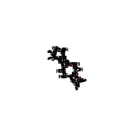 CCO[SiH]1C[Si]2(C)O[SiH]3O[Si]4(C)O[Si](C)(O)O[Si](C)(O)C[Si]5(C)O[Si](C)(O[Si](C)(O)O[Si](C)(O)C[Si](C)(O4)O[Si](C)(O3)O[Si](C)(O[Si](C)(O)O[Si](C)(O)O[Si](C)(OCC)O1)O2)O[Si]1(C)O[Si](C)(OCC)O[Si](C)(OCC)O[Si](C)(O5)O1